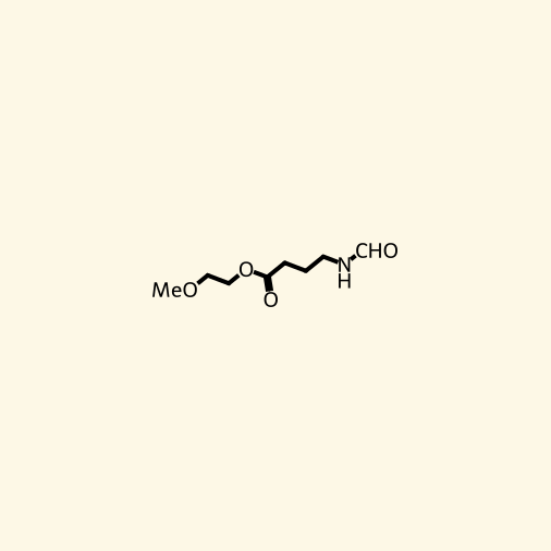 COCCOC(=O)CCCNC=O